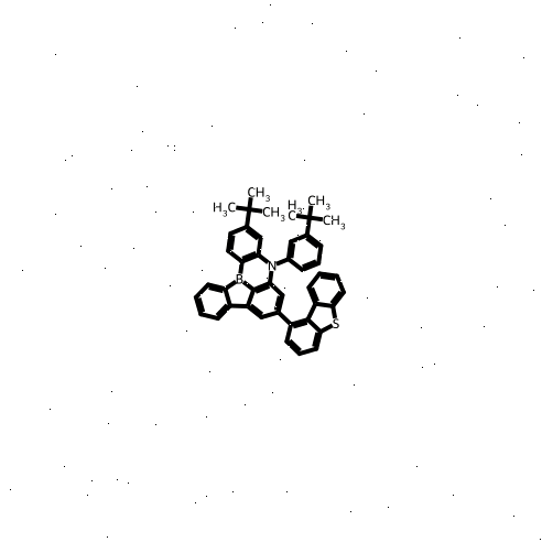 CC(C)(C)c1cccc(N2c3cc(C(C)(C)C)ccc3B3c4ccccc4-c4cc(-c5cccc6sc7ccccc7c56)cc2c43)c1